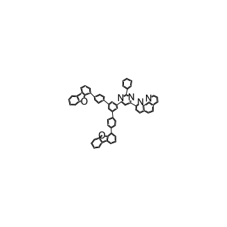 c1ccc(-c2nc(-c3cc(-c4ccc(-c5cccc6c5oc5ccccc56)cc4)cc(-c4ccc(-c5cccc6c5oc5ccccc56)cc4)c3)cc(-c3ccc4ccc5cccnc5c4n3)n2)cc1